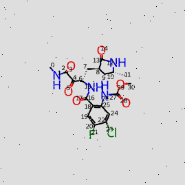 CNC(=O)C(=O)[C@H](C[C@@H]1C[C@@H](C)NC1=O)NC(=O)c1cc(F)c(Cl)cc1NC(=O)OC